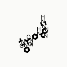 CC(C)n1cc(C(=O)Nc2ccc(Nc3ccnc4cnc(N5CCNCC5)cc34)cc2)c(=O)n(-c2ccccc2)c1=O